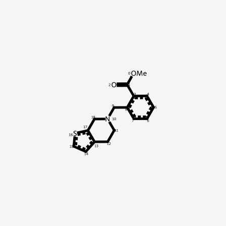 COC(=O)c1ccccc1CN1CCc2ccsc2C1